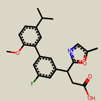 COc1ccc(C(C)C)cc1-c1cc(F)cc(C(CC(=O)O)c2ncc(C)o2)c1